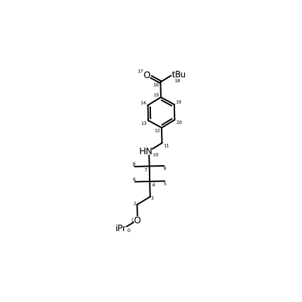 CC(C)OCCC(C)(C)C(C)(C)NCc1ccc(C(=O)C(C)(C)C)cc1